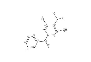 CC(C)c1c(O)cc([S+]([O-])c2ccccc2)cc1O